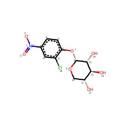 O=[N+]([O-])c1ccc(O[C@H]2OC[C@@H](O)[C@H](O)[C@H]2O)c(Cl)c1